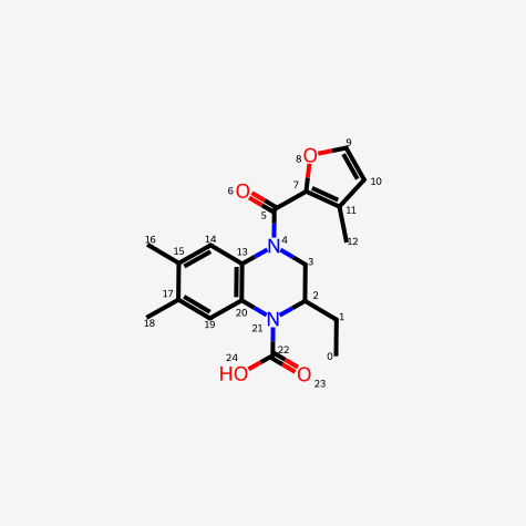 CCC1CN(C(=O)c2occc2C)c2cc(C)c(C)cc2N1C(=O)O